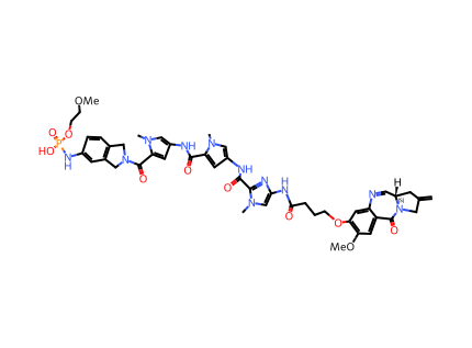 C=C1C[C@H]2C=Nc3cc(OCCCC(=O)Nc4cn(C)c(C(=O)Nc5cc(C(=O)Nc6cc(C(=O)N7Cc8ccc(NP(=O)(O)OCCOC)cc8C7)n(C)c6)n(C)c5)n4)c(OC)cc3C(=O)N2C1